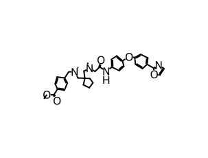 COC(=O)c1ccc(CN(C)CC2(CN(C)CC(=O)Nc3ccc(Oc4ccc(-c5ncco5)cc4)cc3)CCCC2)cc1